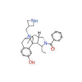 CCC1C2[C@@H](CN1C(=O)c1ccccc1)CC1(C)C3Cc4ccc(O)cc4C21CCN3CC1CNC1